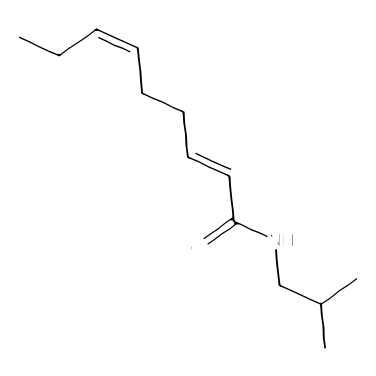 CC/C=C\CC/C=C/C(=O)NCC(C)C